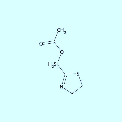 CC(=O)O[SiH2]C1=NCCS1